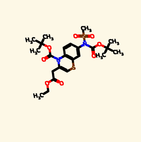 CCOC(=O)CC1=CSc2cc(N(C(=O)OC(C)(C)C)S(C)(=O)=O)ccc2N1C(=O)OC(C)(C)C